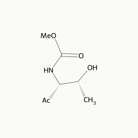 COC(=O)N[C@@H](C(C)=O)[C@@H](C)O